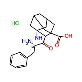 Cl.N[C@@H](Cc1ccccc1)C(=O)C1C2(N)CC3CC(C2)CC1(C(=O)O)C3